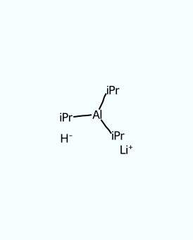 C[CH](C)[Al]([CH](C)C)[CH](C)C.[H-].[Li+]